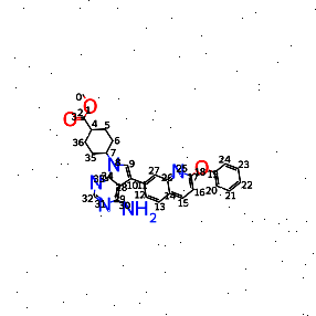 COC(=O)C1CCC(n2cc(-c3ccc4ccc(Oc5ccccc5)nc4c3)c3c(N)ncnc32)CC1